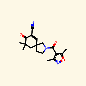 Cc1noc(C)c1C(=O)N1CC[C@@]2(C=C(C#N)C(=O)C(C)(C)C2)C1